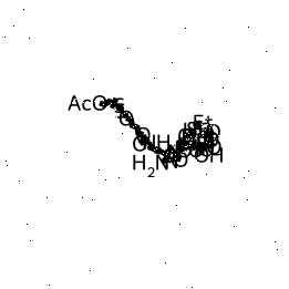 CCSSCO[C@@H]1C[C@H](n2cc(C#CCNC(=O)OCCCCOCSSC(C)(C)CCOC(C)=O)c(N)nc2=O)O[C@@H]1COP(=O)(O)OP(=O)(O)OP(=O)(O)O